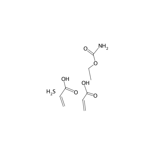 C=CC(=O)O.C=CC(=O)O.CCOC(N)=O.S